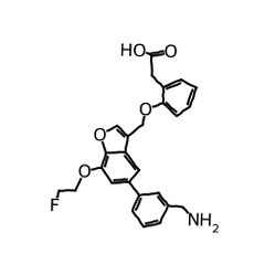 NCc1cccc(-c2cc(OCCF)c3occ(COc4ccccc4CC(=O)O)c3c2)c1